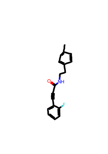 Cc1ccc(CCNC(=O)C#Cc2ccccc2F)cc1